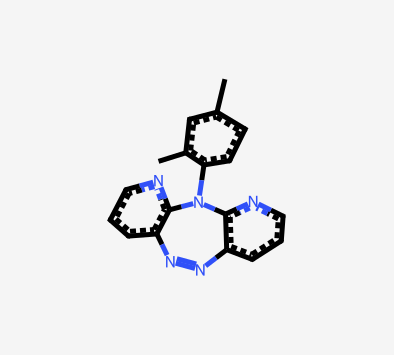 Cc1ccc(N2c3ncccc3N=Nc3cccnc32)c(C)c1